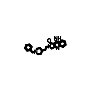 Nc1c2c(nc3ccccc13)CN(CCC1CCN(Cc3ccccc3)CC1)C2=O